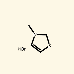 Br.CN1C=CSC1